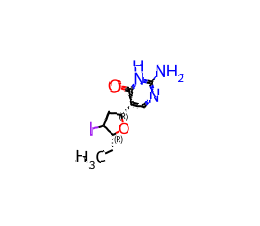 CC[C@H]1O[C@@H](c2cnc(N)[nH]c2=O)CC1I